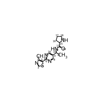 Cc1ncsc1-c1ncc(C(C)NC(=O)C2CCCN2)cn1